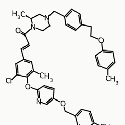 Cc1ccc(COc2ccc(Oc3c(C)cc(C=CC(=O)N4CCN(Cc5ccc(CCOc6ccc(C)cc6)cc5)C[C@@H]4C)cc3Cl)nc2)cc1